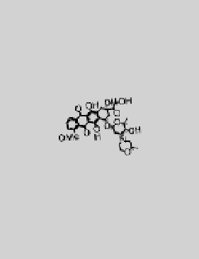 COc1cccc2c1C(=O)c1c(O)c3c(c(O)c1C2=O)C[C@@](O)(C(=O)CO)C[C@@H]3O[C@H]1C[C@H](N2CCO[C@H](C)C2)[C@H](O)[C@H](C)O1